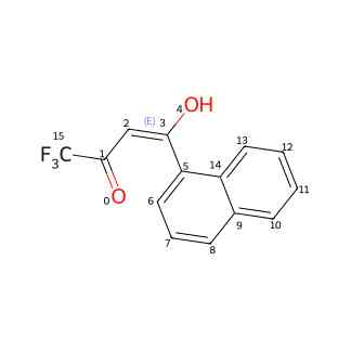 O=C(/C=C(/O)c1cccc2ccccc12)C(F)(F)F